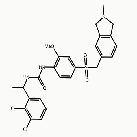 COc1cc(S(=O)(=O)Cc2ccc3c(c2)CN(C)C3)ccc1NC(=O)NC(C)c1cccc(Cl)c1Cl